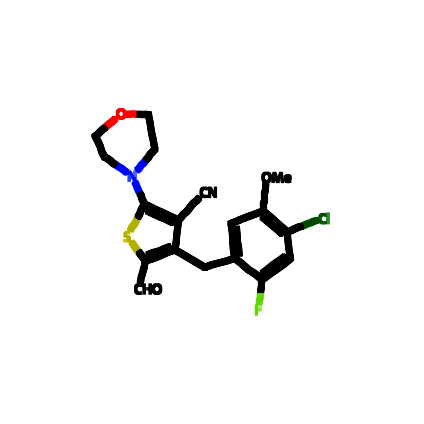 COc1cc(Cc2c(C=O)sc(N3CCOCC3)c2C#N)c(F)cc1Cl